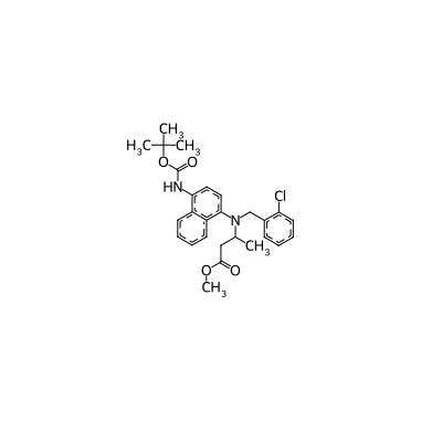 COC(=O)CC(C)N(Cc1ccccc1Cl)c1ccc(NC(=O)OC(C)(C)C)c2ccccc12